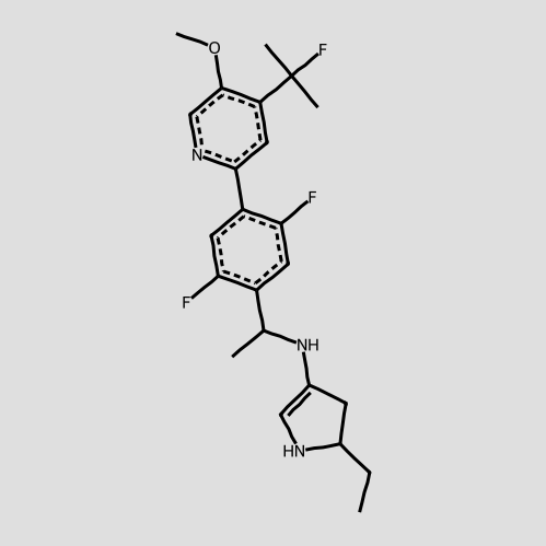 CCC1CC(NC(C)c2cc(F)c(-c3cc(C(C)(C)F)c(OC)cn3)cc2F)=CN1